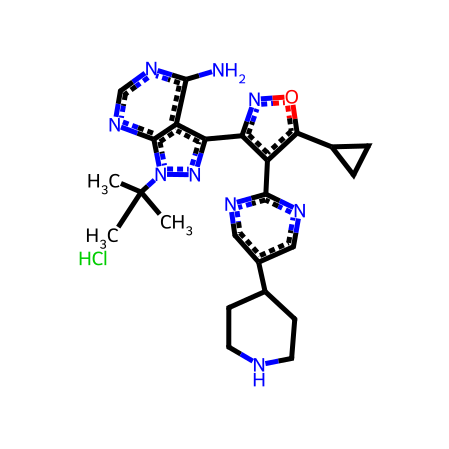 CC(C)(C)n1nc(-c2noc(C3CC3)c2-c2ncc(C3CCNCC3)cn2)c2c(N)ncnc21.Cl